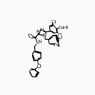 O=C(NCc1ccc(Oc2ccccc2)cc1)c1nnc(-c2cc(Cl)c(O)c(Cl)c2)n1Cc1cccnc1